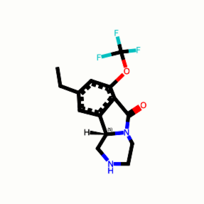 CCc1cc(OC(F)(F)F)c2c(c1)[C@H]1CNCCN1C2=O